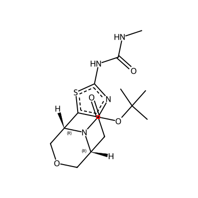 CNC(=O)Nc1nc2c(s1)[C@H]1COC[C@@H](C2)N1C(=O)OC(C)(C)C